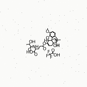 COc1ccc2c3c1O[C@H]1C(OC(=O)CCC(NC(=O)C(C)O)C(=O)O)=CC[C@@]4(O)[C@@H](C2)N(C)CC[C@]314.O=C(O)C(F)(F)F